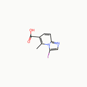 Cc1c(C(=O)O)ccc2ncc(I)n12